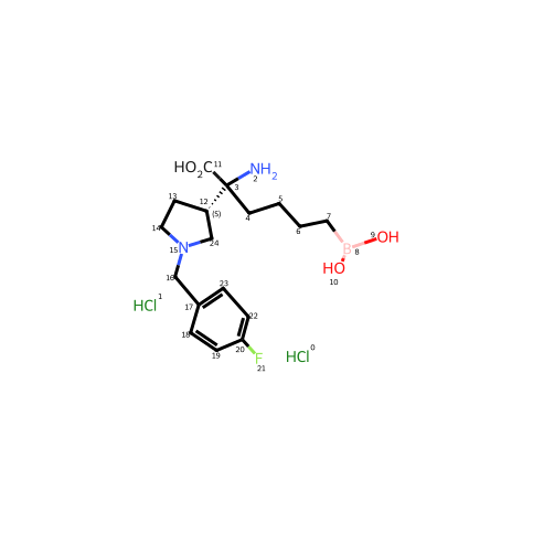 Cl.Cl.NC(CCCCB(O)O)(C(=O)O)[C@H]1CCN(Cc2ccc(F)cc2)C1